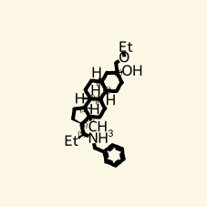 CCOC[C@@]1(O)CC[C@H]2[C@H](CC[C@@H]3[C@@H]2CC[C@]2(C)[C@@H]([C@H](CC)NCc4ccccc4)CC[C@@H]32)C1